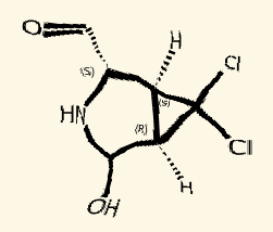 O=C[C@H]1NC(O)[C@H]2[C@@H]1C2(Cl)Cl